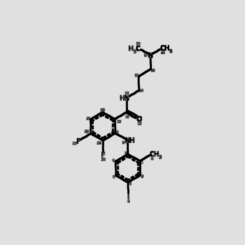 Cc1cc(I)ccc1Nc1c(C(=O)NCCCN(C)C)ccc(F)c1F